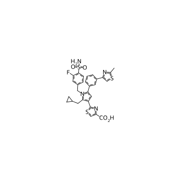 Cc1nc(-c2cccc(-c3cc(-c4nc(C(=O)O)cs4)c(CC4CC4)n3Cc3ccc(S(N)(=O)=O)c(F)c3)c2)cs1